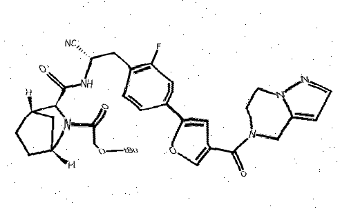 CC(C)(C)OC(=O)N1[C@@H]2CC[C@@H](C2)[C@H]1C(=O)N[C@H](C#N)Cc1ccc(-c2cc(C(=O)N3CCn4nccc4C3)co2)cc1F